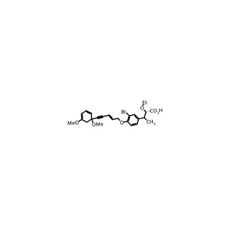 CCO[C@H](C(=O)O)C(C)c1ccc(OCC=CC#CC2(OC)C=CC=C(OC)C2)c(Br)c1